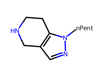 CCCCCn1ncc2c1CCNC2